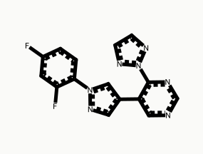 Fc1ccc(-n2cc(-c3cncnc3-n3nccn3)cn2)c(F)c1